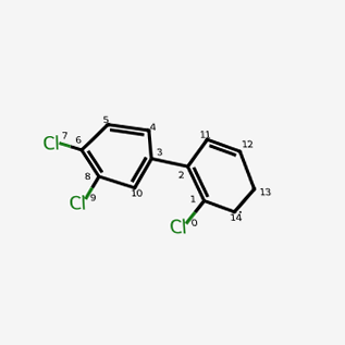 ClC1=C(c2ccc(Cl)c(Cl)c2)C=CC[CH]1